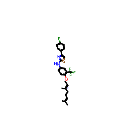 CC(C)=CCC/C(C)=C/COc1ccc(Nc2nc(-c3ccc(F)cc3)cs2)cc1C(F)(F)F